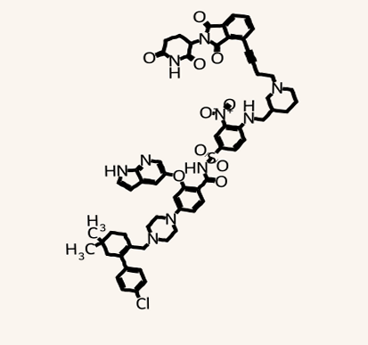 CC1(C)CCC(CN2CCN(c3ccc(C(=O)NS(=O)(=O)c4ccc(NCC5CCCN(CCC#Cc6cccc7c6C(=O)N(C6CCC(=O)NC6=O)C7=O)C5)c([N+](=O)[O-])c4)c(Oc4cnc5[nH]ccc5c4)c3)CC2)=C(c2ccc(Cl)cc2)C1